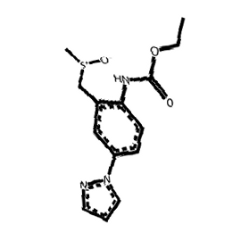 CCOC(=O)Nc1ccc(-n2cccn2)cc1C[S+](C)[O-]